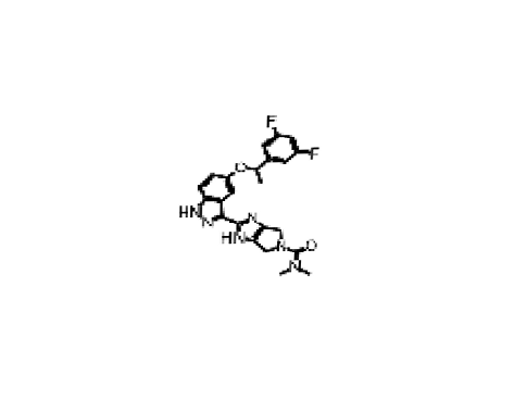 CC(Oc1ccc2[nH]nc(-c3nc4c([nH]3)CN(C(=O)N(C)C)C4)c2c1)c1cc(F)cc(F)c1